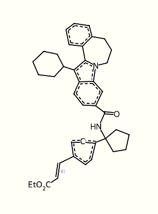 CCOC(=O)/C=C/c1ccc(C2(NC(=O)c3ccc4c(C5CCCCC5)c5n(c4c3)CCCc3ccccc3-5)CCCC2)cc1